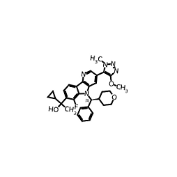 COc1nnn(C)c1-c1cnc2c3ccc(C(C)(O)C4CC4)c(F)c3n([C@H](c3ccccc3)C3CCOCC3)c2c1